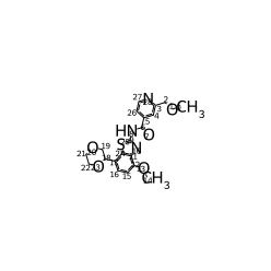 COCc1cc(C(=O)Nc2nc3c(OC)ccc(C4COCCO4)c3s2)ccn1